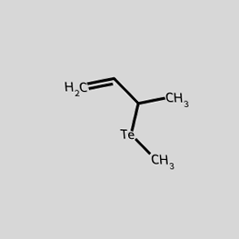 C=CC(C)[Te]C